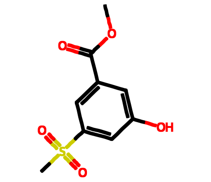 COC(=O)c1cc(O)cc(S(C)(=O)=O)c1